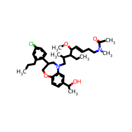 CCCc1cc(Cl)ccc1C1COc2ccc(C(C)O)cc2N(CC(C)C(CC)C(/C=C/CCN(C)C(C)=O)OC)C1